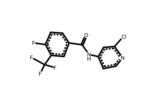 O=C(Nc1ccnc(Cl)c1)c1ccc(F)c(C(F)(F)F)c1